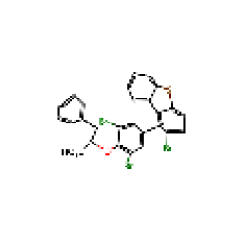 O=C(O)[C@@H](Cc1ccccc1)Oc1c(Br)cc(-c2c(Br)ccc3sc4ccccc4c23)cc1Br